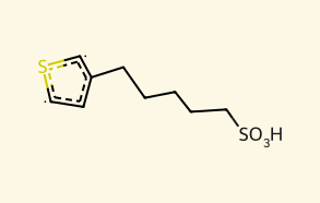 O=S(=O)(O)CCCCCc1[c]s[c]c1